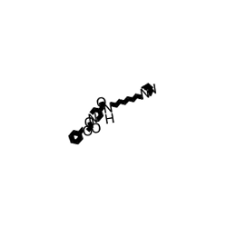 O=C(OCc1ccccc1)ON1CCC(C(=O)NCCCCCCCCn2ccnc2)CC1